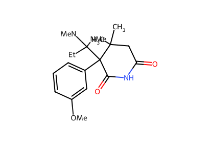 CCC(NC)(NC)C1(c2cccc(OC)c2)C(=O)NC(=O)CC1(C)C